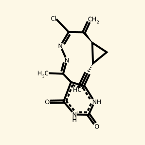 C#C[C@H]1C[C@@H]1C(=C)/C(Cl)=N\N=C(/C)c1c[nH]c(=O)[nH]c1=O